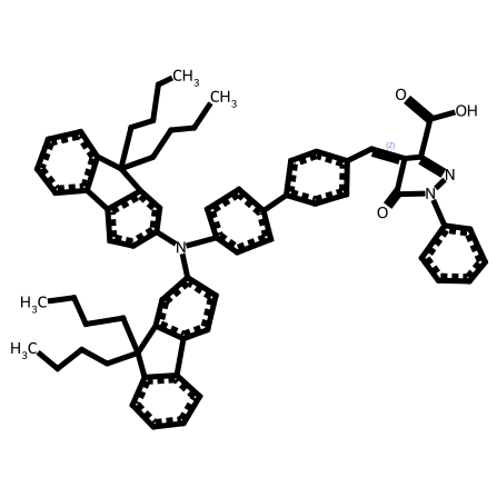 CCCCC1(CCCC)c2ccccc2-c2ccc(N(c3ccc(-c4ccc(/C=C5\C(=O)N(c6ccccc6)N=C5C(=O)O)cc4)cc3)c3ccc4c(c3)C(CCCC)(CCCC)c3ccccc3-4)cc21